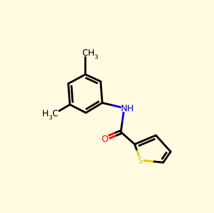 Cc1cc(C)cc(NC(=O)c2cccs2)c1